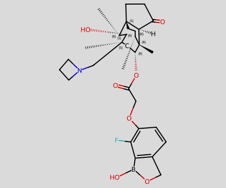 C[C@@H]1CC[C@@]23CCC(=O)[C@H]2[C@]1(C)[C@H](OC(=O)COc1ccc2c(c1F)B(O)OC2)C[C@@](C)(CN1CCC1)[C@@H](O)[C@@H]3C